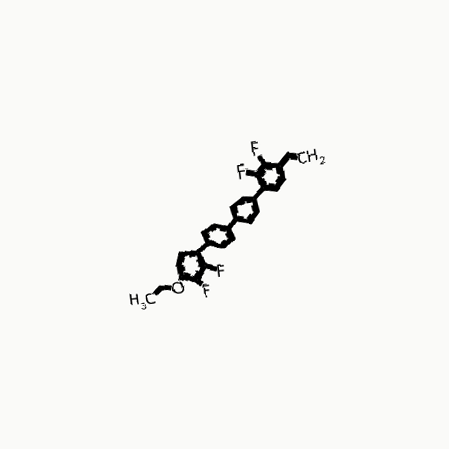 C=Cc1ccc(-c2ccc(-c3ccc(-c4ccc(OCC)c(F)c4F)cc3)cc2)c(F)c1F